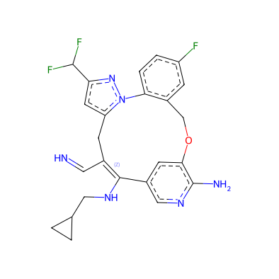 N=C/C1=C(\NCC2CC2)c2cnc(N)c(c2)OCc2cc(F)ccc2-n2nc(C(F)F)cc2C1